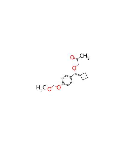 COCOc1ccc(C(OCC(C)=O)=C2CCC2)cc1